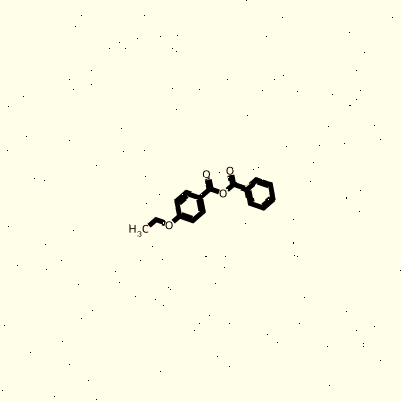 CCOc1ccc(C(=O)OC(=O)c2ccccc2)cc1